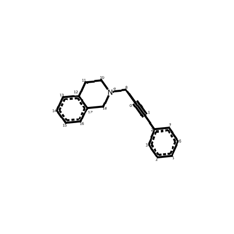 C(#Cc1ccccc1)CN1CCc2ccccc2C1